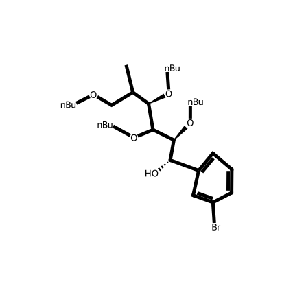 CCCCOCC(C)[C@@H](OCCCC)C(OCCCC)[C@@H](OCCCC)[C@@H](O)c1cccc(Br)c1